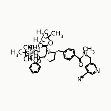 CN(Cc1cncc(C#N)c1)C(=O)c1ccc(C[C@@H]2CC[C@H]([C@H](O[Si](C)(C)C(C)(C)C)c3ccccc3)N2C(=O)OC(C)(C)C)cc1